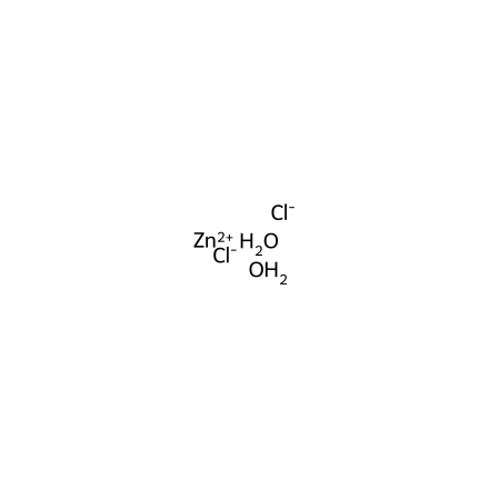 O.O.[Cl-].[Cl-].[Zn+2]